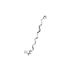 CCCC/C=C/C=C/CCCCl